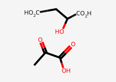 CC(=O)C(=O)O.O=C(O)CC(O)C(=O)O